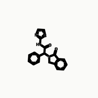 O=C(Nc1nccs1)C(c1ccccc1)N1Cc2ccccc2C1=O